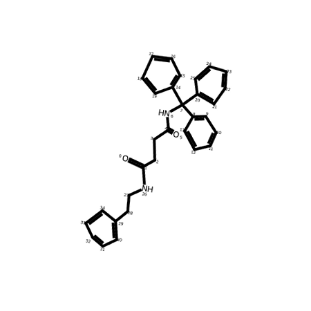 O=C(CCC(=O)NC(c1ccccc1)(c1ccccc1)c1ccccc1)NCCc1ccccc1